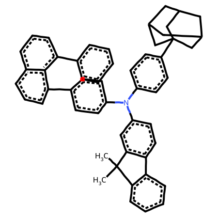 CC1(C)c2ccccc2-c2ccc(N(c3ccc(-c4cccc5cccc(-c6ccccc6)c45)cc3)c3ccc(C45CC6CC(CC(C6)C4)C5)cc3)cc21